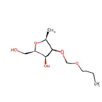 CCCOCOC1[C@H](C)O[C@H](CO)[C@@H]1O